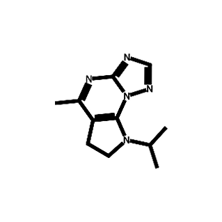 Cc1nc2ncnn2c2c1CCN2C(C)C